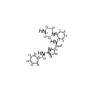 C=C(Nc1ccccc1N1CCNCC1)c1csc(NCc2ccccc2)n1